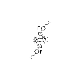 Cc1nc2c(-c3ccc(-c4ccc(CCC(C)C)cc4F)s3)c3nsnc3c(-c3ccc(-c4ccc(CCC(C)C)cc4F)s3)c2nc1C